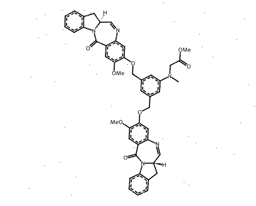 COC(=O)CN(C)c1cc(COc2cc3c(cc2OC)C(=O)N2c4ccccc4C[C@H]2C=N3)cc(COc2cc3c(cc2OC)C(=O)N2c4ccccc4C[C@H]2C=N3)c1